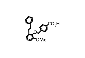 COc1cccc(CCc2ccccc2)c1OCc1ccc(C(=O)O)cc1